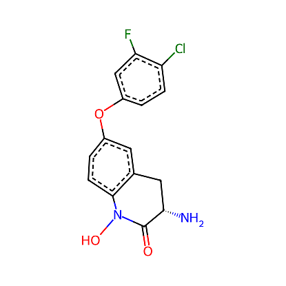 N[C@H]1Cc2cc(Oc3ccc(Cl)c(F)c3)ccc2N(O)C1=O